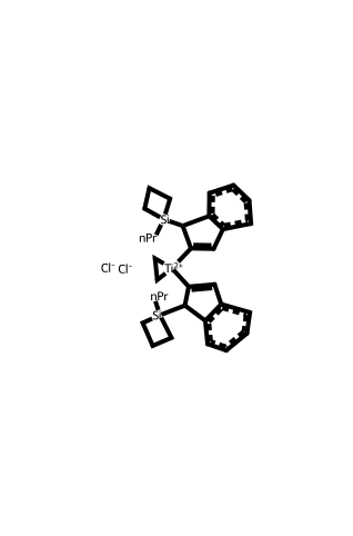 CCC[Si]1(C2[C]([Ti+2]3([C]4=Cc5ccccc5C4[Si]4(CCC)CCC4)[CH2][CH2]3)=Cc3ccccc32)CCC1.[Cl-].[Cl-]